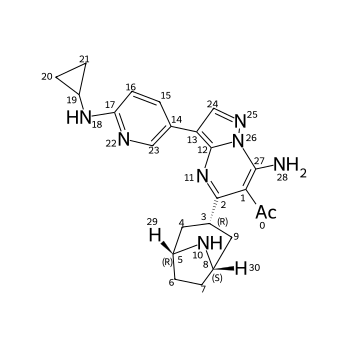 CC(=O)c1c([C@H]2C[C@H]3CC[C@@H](C2)N3)nc2c(-c3ccc(NC4CC4)nc3)cnn2c1N